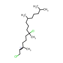 C/C(=C\CCl)CCCC(C)(Cl)CCCC(C)CCCC(C)C